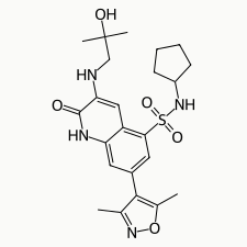 Cc1noc(C)c1-c1cc(S(=O)(=O)NC2CCCC2)c2cc(NCC(C)(C)O)c(=O)[nH]c2c1